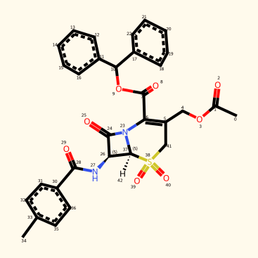 CC(=O)OCC1=C(C(=O)OC(c2ccccc2)c2ccccc2)N2C(=O)[C@H](NC(=O)c3ccc(C)cc3)[C@@H]2S(=O)(=O)C1